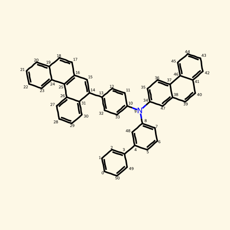 c1ccc(-c2cccc(N(c3ccc(-c4cc5ccc6ccccc6c5c5ccccc45)cc3)c3ccc4c(ccc5ccccc54)c3)c2)cc1